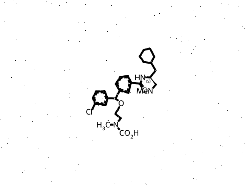 CNC[C@H](CC1CCCCC1)NC(=O)c1cccc(C(OCCN(C)C(=O)O)c2cccc(Cl)c2)c1